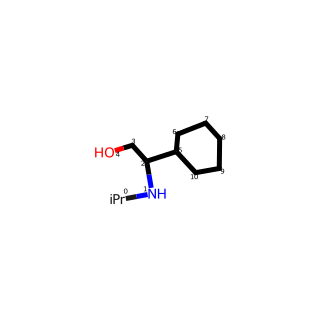 CC(C)NC(CO)C1CCCCC1